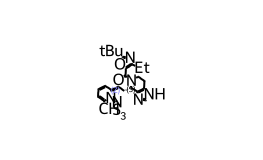 CCc1nc(C(C)(C)C)oc1C(=O)N1CCc2[nH]cnc2[C@@H]1C/C=C1/C=CC=C(C)N1N=S